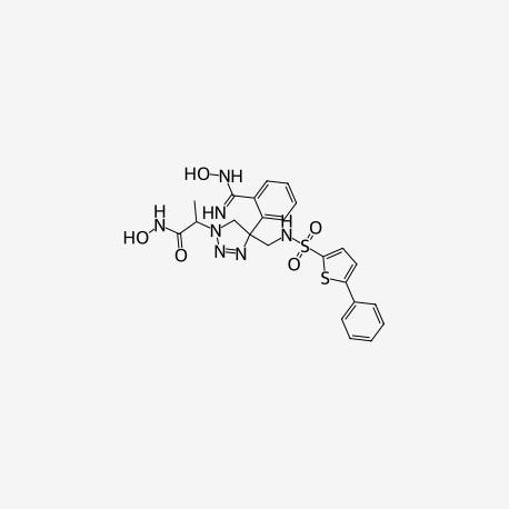 CC(C(=O)NO)N1CC(CNS(=O)(=O)c2ccc(-c3ccccc3)s2)(c2ccccc2C(=N)NO)N=N1